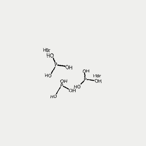 Br.Br.OP(O)O.OP(O)O.OP(O)O